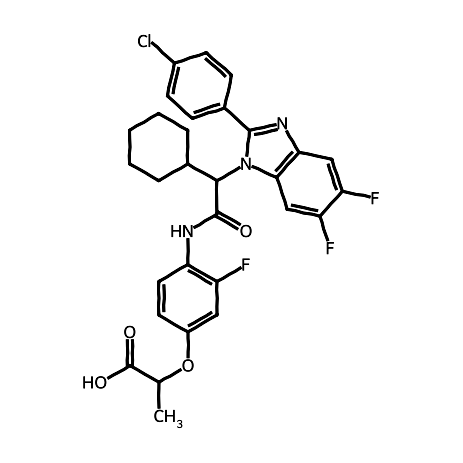 CC(Oc1ccc(NC(=O)C(C2CCCCC2)n2c(-c3ccc(Cl)cc3)nc3cc(F)c(F)cc32)c(F)c1)C(=O)O